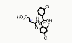 O=C(O)/C=C/C(=O)N[C@H](c1ccc(Cl)cc1F)[C@H](O)c1cccc(Cl)c1